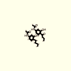 CCCC(=O)c1ccc(NC(C)=O)cc1O.CCCCc1ccc(NC(C)=O)cc1O